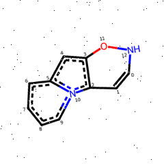 C1=Cc2c(cc3ccccn23)ON1